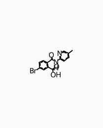 Cc1ccc(NC(=O)c2ccc(Br)cc2C(=O)O)nc1